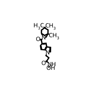 CC1(C)CC2CC(C)(CN2C(=O)c2ccc3c(ccn3CCC(=O)NO)c2)C1